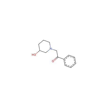 O=C(CN1CCCC(O)C1)c1ccccc1